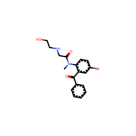 CN(C(=O)CNCCO)c1ccc(Br)cc1C(=O)c1ccccc1